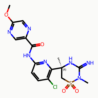 COc1cnc(C(=O)Nc2ccc(Cl)c([C@]3(C)CS(=O)(=O)N(C)C(=N)N3)n2)cn1